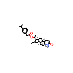 CC(C)c1ccc(CC(=O)OC(C)[C@H]2C(C)C[C@H]3[C@@H]4CC[C@H]5N(C)C(=O)CC[C@]5(C)[C@H]4CC[C@]23C)cc1